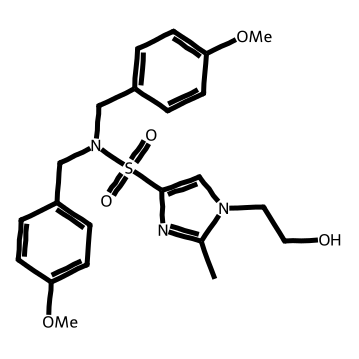 COc1ccc(CN(Cc2ccc(OC)cc2)S(=O)(=O)c2cn(CCO)c(C)n2)cc1